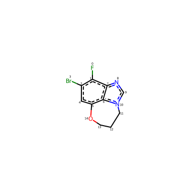 Fc1c(Br)cc2c3c1ncn3CCCO2